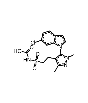 Cc1nn(C)c(-n2ccc3ccc(Cl)cc32)c1CCS(=O)(=O)NC(=O)O